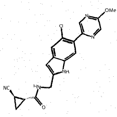 COc1cnc(-c2cc3[nH]c(CNC(=O)[C@@H]4C[C@H]4C#N)cc3cc2Cl)cn1